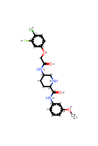 O=C(COc1ccc(Cl)c(F)c1)NC1CCC(C(=O)Nc2cccc(OC(F)(F)F)c2)NC1